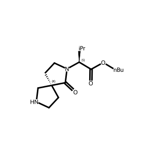 CCCCOC(=O)[C@H](C(C)C)N1CC[C@@]2(CCNC2)C1=O